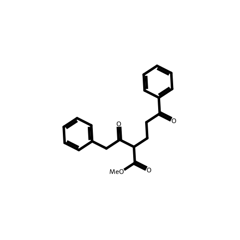 COC(=O)C(CCC(=O)c1ccccc1)C(=O)Cc1ccccc1